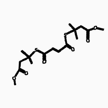 COC(=O)CC(C)(C)SC(=O)CCC(=O)SC(C)(C)CC(=O)OC